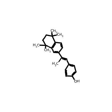 C/C(=C\c1ccc(O)cc1)c1ccc2c(c1)C(C)(C)CCC2(C)C